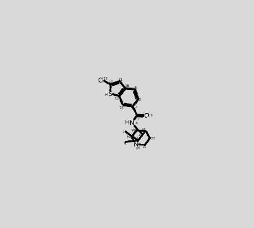 CC1(C)C(NC(=O)c2ccc3cc(Cl)sc3c2)C2CCN1CC2